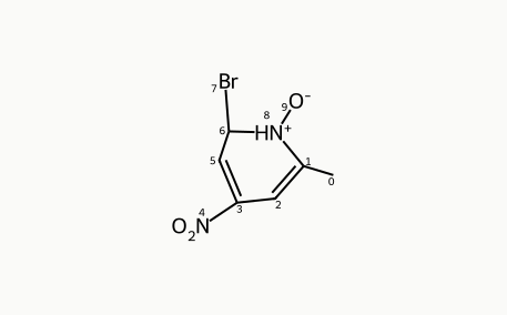 CC1=CC([N+](=O)[O-])=CC(Br)[NH+]1[O-]